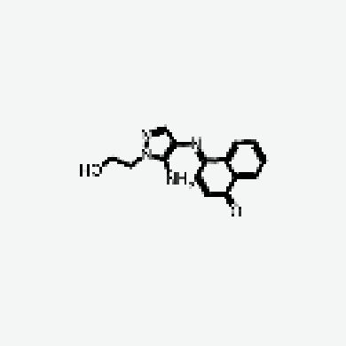 Nc1c(/N=C2\C=CC(=O)c3ccccc32)cnn1CCO